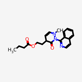 CCCC(=O)OCCC1C=CN(C)N(c2nccc3ccccc23)C1=O